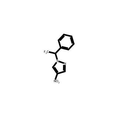 O=[N+]([O-])c1cnn(C(c2ccccc2)C(F)(F)F)c1